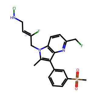 Cc1c(-c2cccc(S(C)(=O)=O)c2)c2nc(CF)ccc2n1C/C(F)=C/CNCl